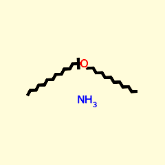 CCCCCCCCCCCCOC(C)(C)CCCCCCCCCCCC.N